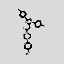 COc1cnc(N2CCN(C(=O)Cc3nc(-c4ccc(C)cc4)cn3-c3ccc(F)cc3)CC2)nc1